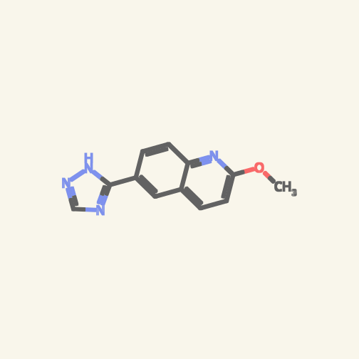 COc1ccc2cc(-c3ncn[nH]3)ccc2n1